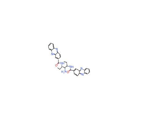 CCC(NC(=O)c1ccc2nc3ccccc3nc2c1)C(N)C(CC)NC(=O)c1ccc2nc3ccccc3nc2c1